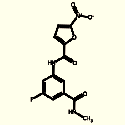 CNC(=O)c1cc(F)cc(NC(=O)c2ccc([N+](=O)[O-])o2)c1